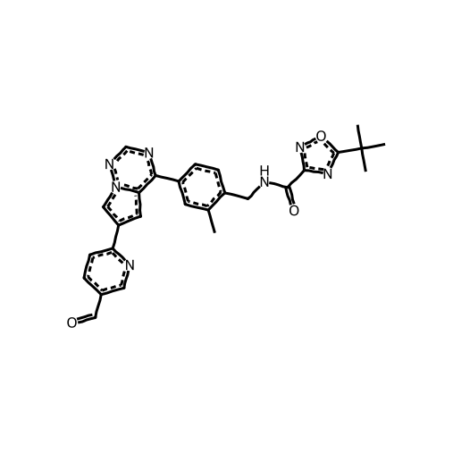 Cc1cc(-c2ncnn3cc(-c4ccc(C=O)cn4)cc23)ccc1CNC(=O)c1noc(C(C)(C)C)n1